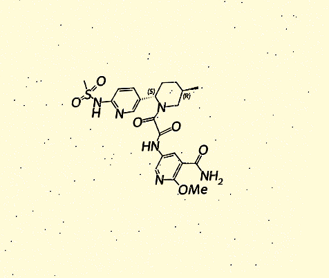 COc1ncc(NC(=O)C(=O)N2C[C@H](C)CC[C@H]2c2ccc(NS(C)(=O)=O)nc2)cc1C(N)=O